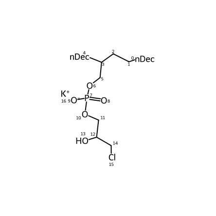 CCCCCCCCCCCCC(CCCCCCCCCC)COP(=O)([O-])OCC(O)CCl.[K+]